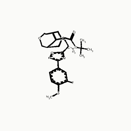 CSc1ccc(-c2noc([C@@H](C)OC3C4COCC3CN(C(=O)OC(C)(C)C)C4)n2)cc1F